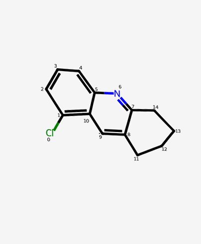 Clc1cccc2nc3c([c]c12)CCCC3